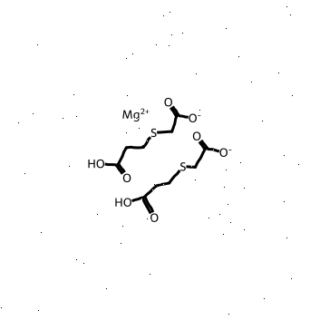 O=C([O-])CSCCC(=O)O.O=C([O-])CSCCC(=O)O.[Mg+2]